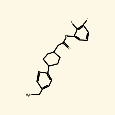 NCc1ccc(C2CCC(CC(=O)Nc3cccc(F)c3F)CC2)cc1